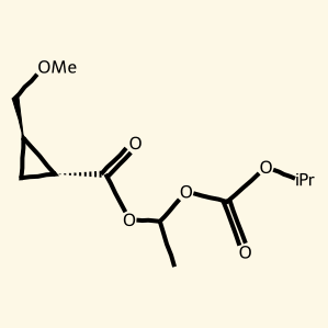 COC[C@@H]1C[C@H]1C(=O)OC(C)OC(=O)OC(C)C